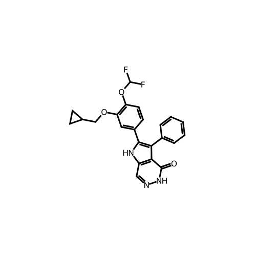 O=c1[nH]ncc2[nH]c(-c3ccc(OC(F)F)c(OCC4CC4)c3)c(-c3ccccc3)c12